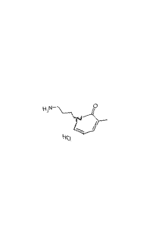 Cc1cccn(CCCN)c1=O.Cl